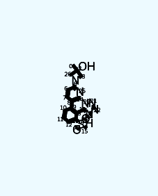 CC1(O)CN(c2ccc(-c3cccc(S(C)(=O)=O)c3-c3nnn[nH]3)cn2)C1